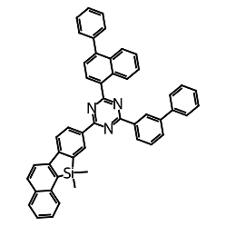 C[Si]1(C)c2cc(-c3nc(-c4cccc(-c5ccccc5)c4)nc(-c4ccc(-c5ccccc5)c5ccccc45)n3)ccc2-c2ccc3ccccc3c21